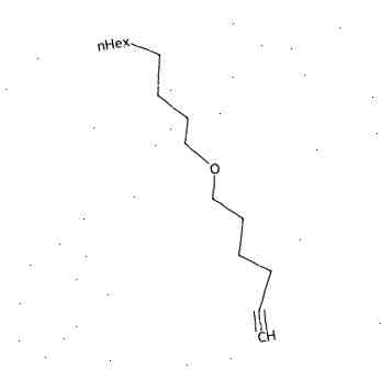 C#CCCCCOCCCCCCCCCC